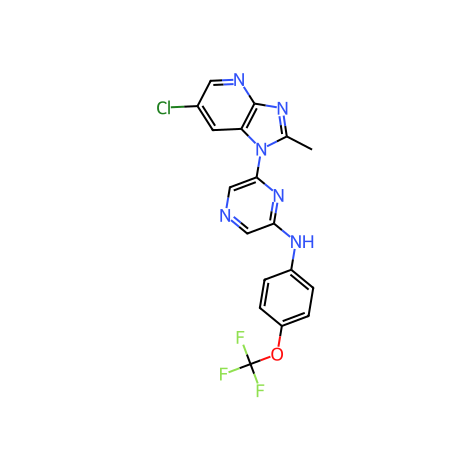 Cc1nc2ncc(Cl)cc2n1-c1cncc(Nc2ccc(OC(F)(F)F)cc2)n1